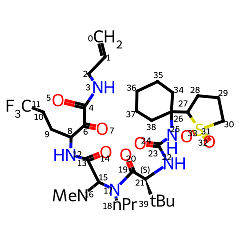 C=CCNC(=O)C(=O)C(CCC(F)(F)F)NC(=O)C(NC)N(CCC)C(=O)[C@@H](NC(=O)NC1(C2CCCS2(=O)=O)CCCCC1)C(C)(C)C